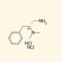 CN(C)[C@@H](CN)Cc1ccccc1.Cl.Cl